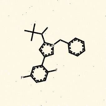 CC(c1cc(-c2cc(F)ccc2F)cn1Cc1ccccc1)C(C)(C)C